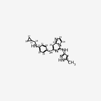 Cc1cc(Nc2nc(Sc3ccc(NCC4CC4)cc3)cc3nccn23)n[nH]1